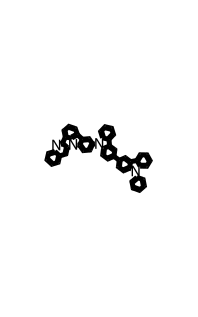 c1ccc(-n2c3ccccc3c3cc(-c4ccc5c(c4)c4ccccc4n5-c4ccc5c(c4)c4cccc6c7nc8ccccc8cc7n5c46)ccc32)cc1